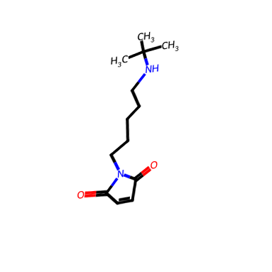 CC(C)(C)NCCCCCN1C(=O)C=CC1=O